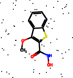 COc1c(C(=O)NO)sc2ccccc12